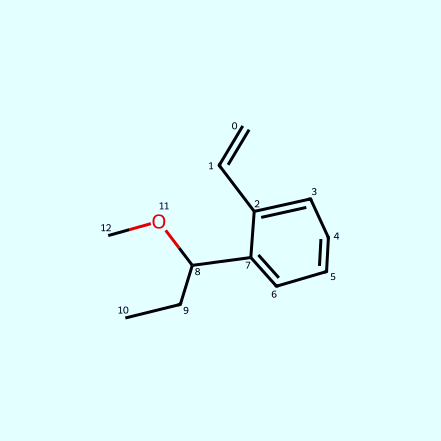 C=Cc1ccccc1C(CC)OC